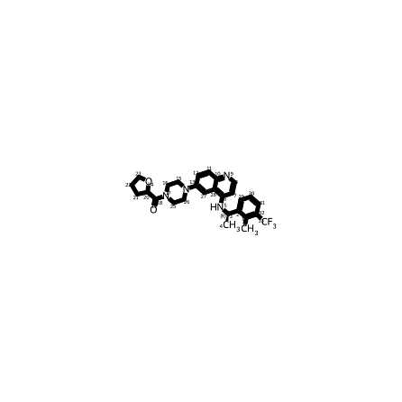 Cc1c([C@@H](C)Nc2ccnc3ccc(N4CCN(C(=O)C5CCCO5)CC4)cc23)cccc1C(F)(F)F